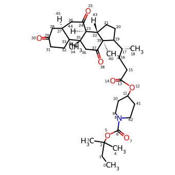 CCC(C)(C)OC(=O)N1CCC(OC(=O)CC[C@@H](C)C2CC[C@H]3[C@@H]4C(=O)C[C@@H]5CC(=O)CC[C@]5(C)[C@H]4CC(=O)[C@]23C)CC1